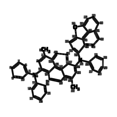 Cc1cc(N(c2ccccc2)c2ccccc2)c2ccc3c(C)cc(N(c4ccccc4)c4ccc5oc6cccc7ccc4c5c76)c4ccc1c2c34